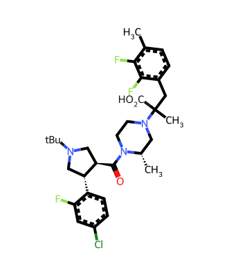 Cc1ccc(CC(C)(C(=O)O)N2CCN(C(=O)[C@@H]3CN(C(C)(C)C)C[C@H]3c3ccc(Cl)cc3F)[C@@H](C)C2)c(F)c1F